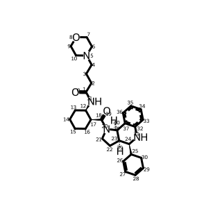 O=C(CCCN1CCOCC1)N[C@@H]1CCCC[C@@H]1C(=O)N1CC[C@@H]2[C@H](C3C=CC=CC3)Nc3ccccc3[C@@H]21